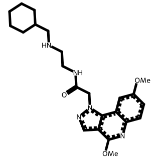 COc1ccc2nc(OC)c3cnn(CC(=O)NCCNCC4CCCCC4)c3c2c1